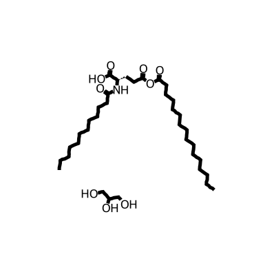 CCCCCCCCCCCCCCCC(=O)OC(=O)CC[C@H](NC(=O)CCCCCCCCCCC)C(=O)O.OCC(O)CO